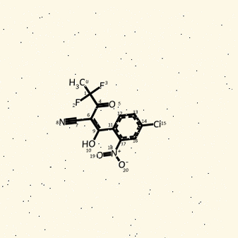 CC(F)(F)C(=O)C(C#N)=C(O)c1ccc(Cl)cc1[N+](=O)[O-]